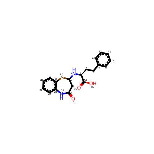 O=C1CC(N[C@@H](CCc2ccccc2)C(=O)O)Sc2ccccc2N1